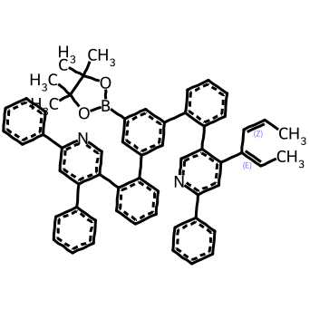 C/C=C\C(=C/C)c1cc(-c2ccccc2)ncc1-c1ccccc1-c1cc(B2OC(C)(C)C(C)(C)O2)cc(-c2ccccc2-c2cnc(-c3ccccc3)cc2-c2ccccc2)c1